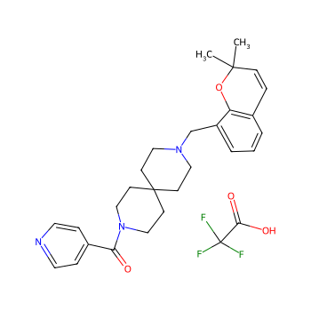 CC1(C)C=Cc2cccc(CN3CCC4(CC3)CCN(C(=O)c3ccncc3)CC4)c2O1.O=C(O)C(F)(F)F